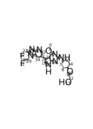 COc1nc(N[C@H]2CC[C@@H](OCCO)CC2)nc2[nH]cc(-c3cnc4nc(C)n(CC(F)F)c4c3)c12